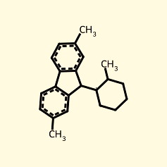 Cc1ccc2c(c1)C([C]1CCCCC1C)c1cc(C)ccc1-2